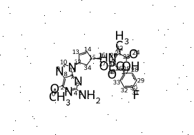 COc1nc(N)nc2c1ncn2[C@H]1C=C[C@@H](COP(=O)(N[C@@H](C)C(=O)O)Oc2ccc(F)cc2)C1